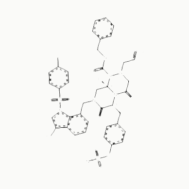 C=CCN1CC(=O)N2[C@@H](Cc3ccc(OS(N)(=O)=O)cc3)C(=O)N(Cc3cccc4c(C(C)=O)cn(S(=O)(=O)c5ccc(C)cc5)c34)C[C@@H]2N1C(=O)NCc1ccccc1